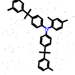 Cc1cccc(C(C)(C)c2ccc(N(c3ccc(C(C)(C)c4cccc(C)c4)cc3)c3ccc(C)cc3C)cc2)c1